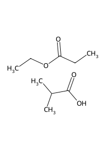 CC(C)C(=O)O.CCOC(=O)CC